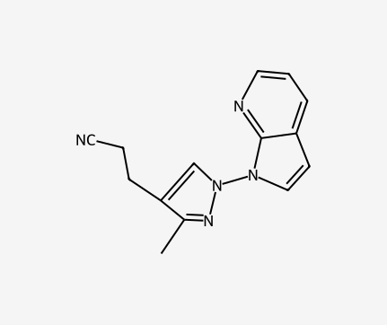 Cc1nn(-n2ccc3cccnc32)cc1CCC#N